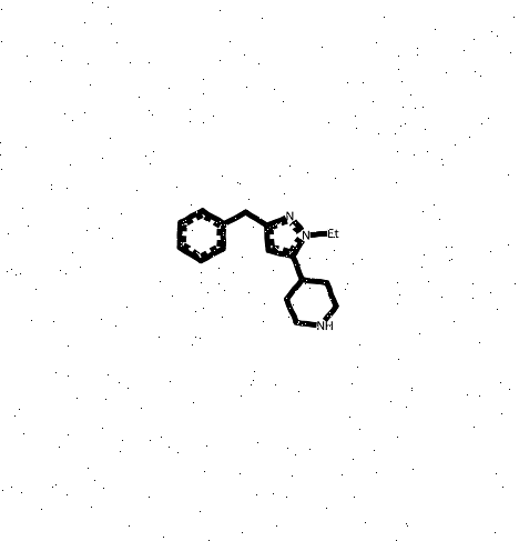 CCn1nc(Cc2ccccc2)cc1C1CCNCC1